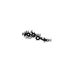 Cc1cc(N[C@@H]2CCCN(CCC3CC(O)C3)C2)nnc1-c1ccc(C(F)(F)F)cc1O